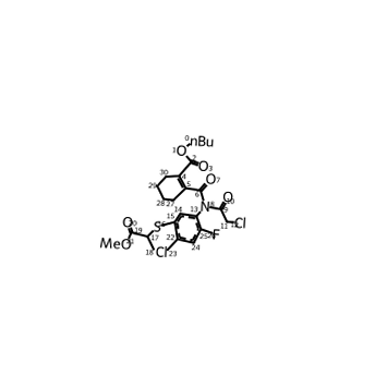 CCCCOC(=O)C1=C(C(=O)N(C(=O)CCl)c2cc(SC(C)C(=O)OC)c(Cl)cc2F)CCCC1